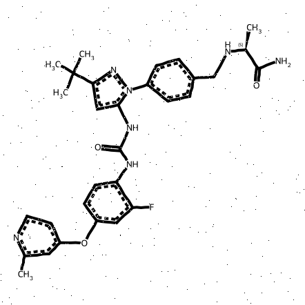 Cc1cc(Oc2ccc(NC(=O)Nc3cc(C(C)(C)C)nn3-c3ccc(CN[C@@H](C)C(N)=O)cc3)c(F)c2)ccn1